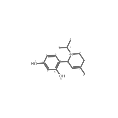 CC1=CC(c2ccc(O)cc2O)N(C(C)C)CC1